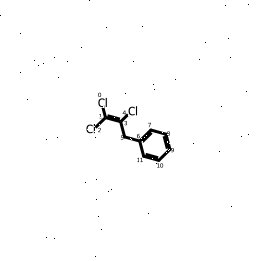 ClC(Cl)=C(Cl)Cc1ccccc1